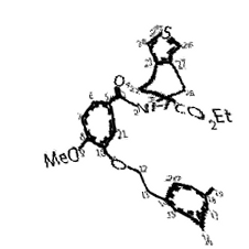 CCOC(=O)C1(NC(=O)c2ccc(OC)c(OCCc3cccc(C)c3)c2)Cc2cscc2C1